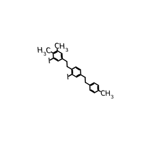 Cc1ccc(CCc2ccc(CCc3cc(C)c(C)c(I)c3)c(I)c2)cc1